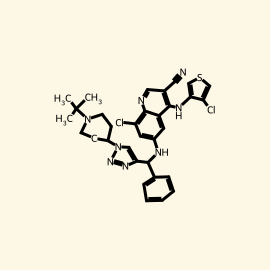 CC(C)(C)N1CCC(n2cc(C(Nc3cc(Cl)c4ncc(C#N)c(Nc5cscc5Cl)c4c3)c3ccccc3)nn2)CC1